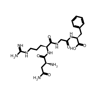 N=C(N)NCCC[C@H](NC(=O)[C@@H](N)CC(N)=O)C(=O)NCC(=O)N[C@@H](Cc1ccccc1)C(=O)O